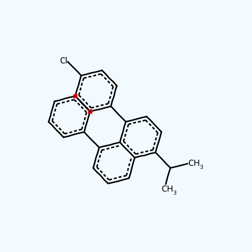 CC(C)c1ccc(-c2ccc(Cl)cc2)c2c(-c3ccccc3)cccc12